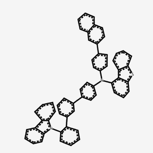 c1cc(-c2ccc(N(c3ccc(-c4ccc5ccccc5c4)cc3)c3cccc4sc5ccccc5c34)cc2)cc(-c2ccccc2-n2c3ccccc3c3ccccc32)c1